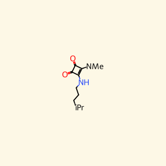 CNc1c(NCCCC(C)C)c(=O)c1=O